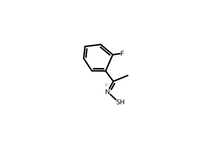 C/C(=N\S)c1ccccc1F